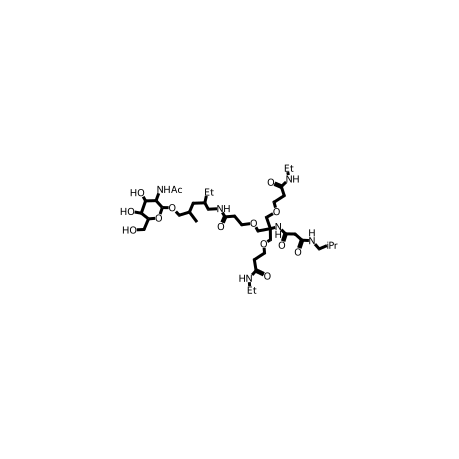 CCNC(=O)CCOCC(COCCC(=O)NCC)(COCCC(=O)NCC(CC)CC(C)COC1OC(CO)C(O)C(O)C1NC(C)=O)NC(=O)CC(=O)NCC(C)C